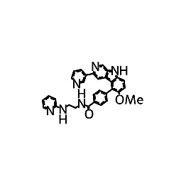 COc1ccc2[nH]c3cnc(-c4cccnc4)cc3c2c1-c1ccc(C(=O)NCCNc2ccccn2)cc1